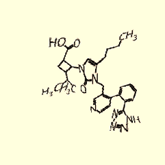 CCCCc1cn(C2C(C(=O)O)CC2C(C)C)c(=O)n1Cc1cnccc1-c1ccccc1-c1nnn[nH]1